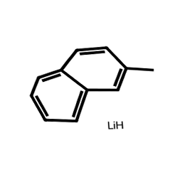 Cc1ccc2ccccc2c1.[LiH]